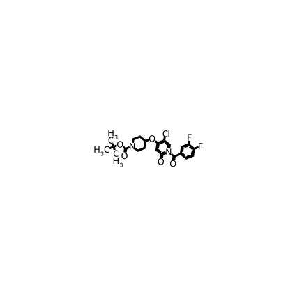 CC(C)(C)OC(=O)N1CCC(Oc2cc(=O)n(C(=O)c3ccc(F)c(F)c3)cc2Cl)CC1